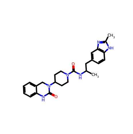 Cc1nc2cc(CC(C)NC(=O)N3CCC(N4Cc5ccccc5NC4=O)CC3)ccc2[nH]1